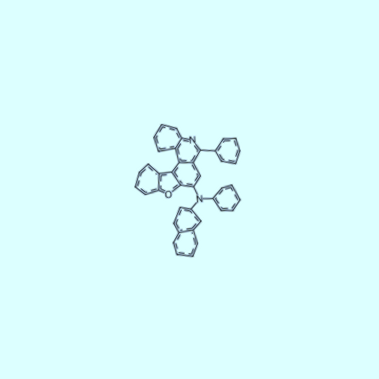 c1ccc(-c2nc3ccccc3c3c2cc(N(c2ccccc2)c2ccc4ccccc4c2)c2oc4ccccc4c23)cc1